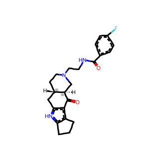 O=C(NCCN1CC[C@H]2Cc3[nH]c4c(c3C(=O)[C@@H]2C1)CCC4)c1ccc(F)cc1